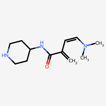 C=C(/C=C\N(C)C)C(=O)NC1CCNCC1